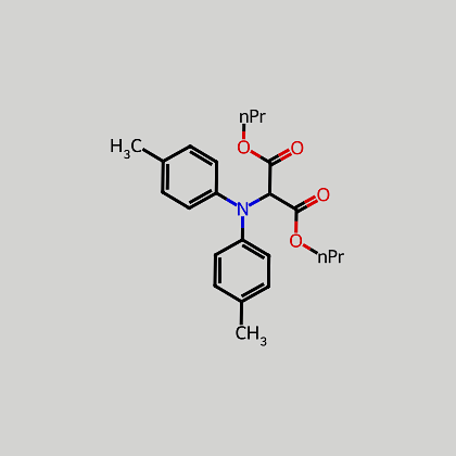 CCCOC(=O)C(C(=O)OCCC)N(c1ccc(C)cc1)c1ccc(C)cc1